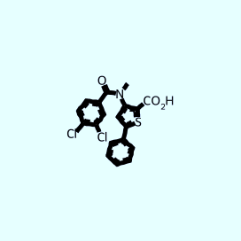 CN(C(=O)c1ccc(Cl)c(Cl)c1)c1cc(-c2ccccc2)sc1C(=O)O